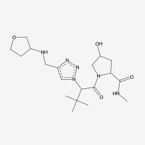 CNC(=O)C1CC(O)CN1C(=O)C(n1cc(CNC2CCOC2)nn1)C(C)(C)C